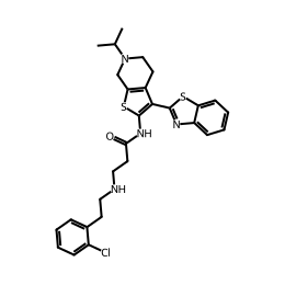 CC(C)N1CCc2c(sc(NC(=O)CCNCCc3ccccc3Cl)c2-c2nc3ccccc3s2)C1